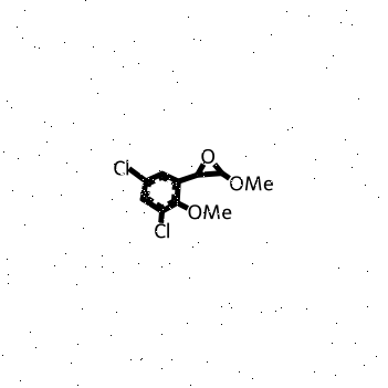 COc1c(Cl)cc(Cl)cc1C1OC1OC